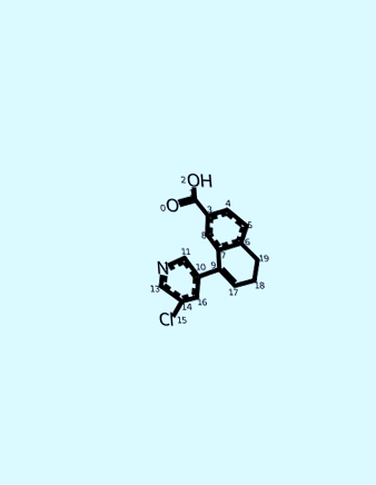 O=C(O)c1ccc2c(c1)C(c1cncc(Cl)c1)=CCC2